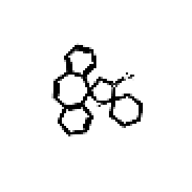 CC(=O)N1CC2(OC13CCCCC3)C1=C(C=Cc3ccccc32)CCC=C1